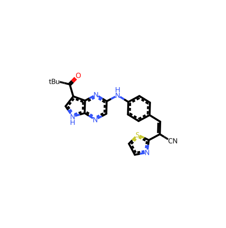 CC(C)(C)C(=O)c1c[nH]c2ncc(Nc3ccc(C=C(C#N)c4nccs4)cc3)nc12